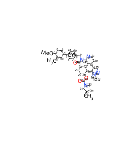 COc1ccc(C23CCC(CN(c4cc(-c5cnn(C(C)(C)C)c5)ccn4)C(=O)[C@H]4CC[C@H](OC(=O)N5CCC(C)C5)CC4)(CC2)CC3)cc1C